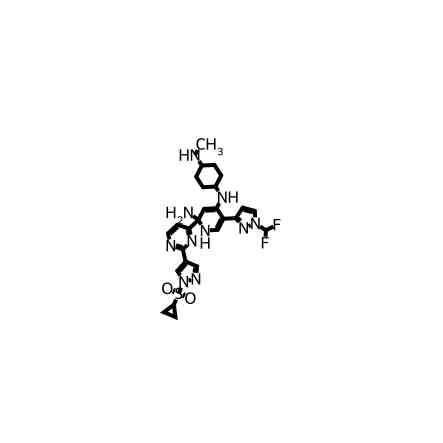 CNC1CCC(NC2=CC(N)(c3ccnc(-c4cnn(S(=O)(=O)C5CC5)c4)n3)NC=C2c2ccn(C(F)F)n2)CC1